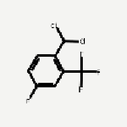 Fc1ccc(C(Cl)Cl)c(C(F)(F)F)c1